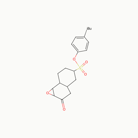 CCC(C)c1ccc(OS(=O)(=O)C2CCC3C(CC(=O)C4OC43)C2)cc1